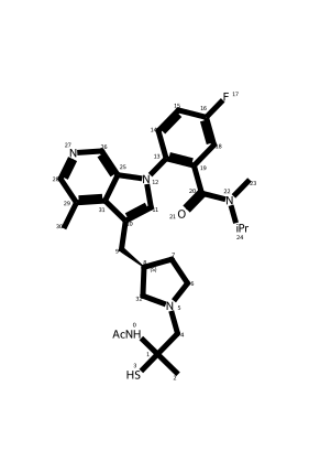 CC(=O)NC(C)(S)CN1CC[C@H](Cc2cn(-c3ccc(F)cc3C(=O)N(C)C(C)C)c3cncc(C)c23)C1